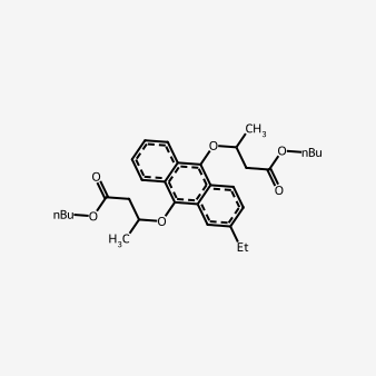 CCCCOC(=O)CC(C)Oc1c2ccccc2c(OC(C)CC(=O)OCCCC)c2cc(CC)ccc12